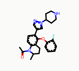 CC(=O)N1c2ccc(-c3cnn(C4CCNCC4)c3)c(Oc3ccccc3F)c2CCC1C